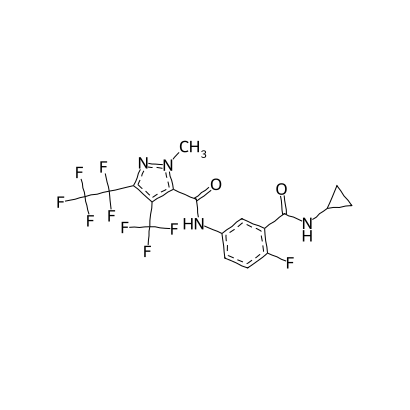 Cn1nc(C(F)(F)C(F)(F)F)c(C(F)(F)F)c1C(=O)Nc1ccc(F)c(C(=O)NC2CC2)c1